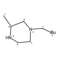 CCC(C)CN1CCNC(C)C1